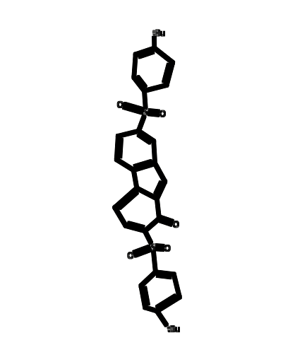 CC(C)(C)c1ccc(S(=O)(=O)C2=CC=C3C(=Cc4cc(S(=O)(=O)c5ccc(C(C)(C)C)cc5)ccc43)C2=O)cc1